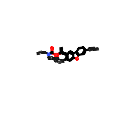 CCCCCCN(CCCCCC)C(=O)OC(C)c1cc2c(cc1[N+](=O)[O-])oc1cc(OC)ccc12